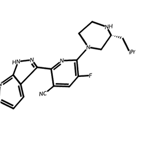 CC(C)C[C@@H]1CN(c2nc(-c3n[nH]c4ncccc34)c(C#N)cc2F)CCN1